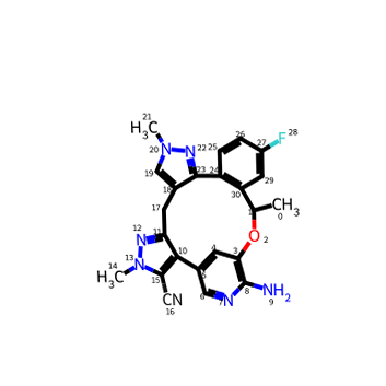 CC1Oc2cc(cnc2N)-c2c(nn(C)c2C#N)Cc2cn(C)nc2-c2ccc(F)cc21